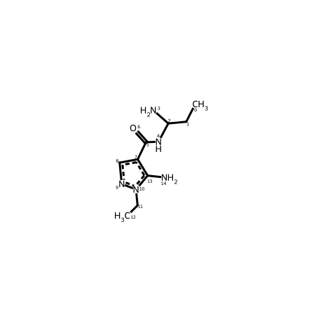 CCC(N)NC(=O)c1cnn(CC)c1N